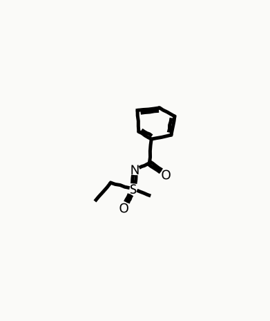 CCS(C)(=O)=NC(=O)c1ccccc1